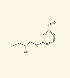 O=Cc1cccc(OCC(O)CCl)c1